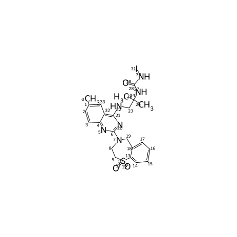 Cc1ccc2nc(N3CCS(=O)(=O)c4ccccc4C3)nc(NCC(C)(C)NC(=O)NI)c2c1